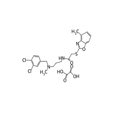 Cc1cccc2oc(SCC(=O)NCCCN(C)Cc3ccc(Cl)c(Cl)c3)nc12.O=C(O)C(=O)O